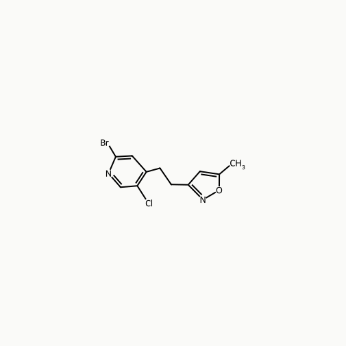 Cc1cc(CCc2cc(Br)ncc2Cl)no1